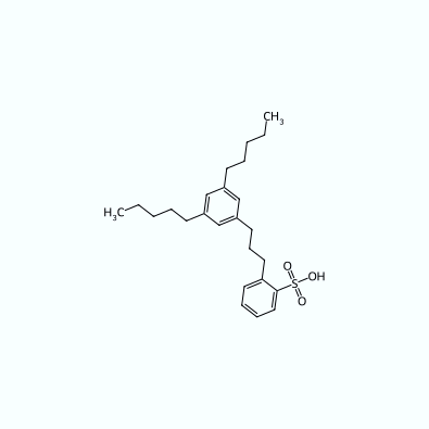 CCCCCc1cc(CCCCC)cc(CCCc2ccccc2S(=O)(=O)O)c1